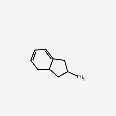 CC1CC2=CC=CCC2C1